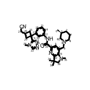 C[C@H]1CCCN(Cc2cc(C(=O)Nc3cccc(C4(c5nncn5C)CC(CC#N)C4)c3)nc3c2N(C)CC3(C)C)C1